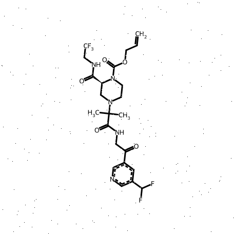 C=CCOC(=O)N1CCN(C(C)(C)C(=O)NCC(=O)c2cncc(C(F)F)c2)C[C@H]1C(=O)NCC(F)(F)F